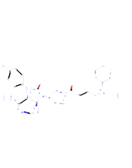 CN(C/C=C/C(=O)N1CCC(n2c(=O)n(-c3ccc(Cl)cc3)c3c(N)ncnc32)C1)C1CCCCC1